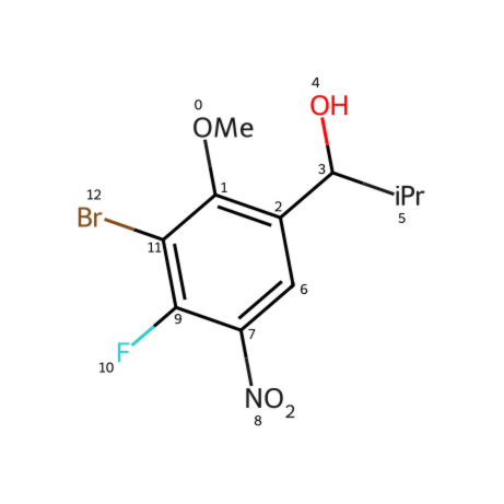 COc1c(C(O)C(C)C)cc([N+](=O)[O-])c(F)c1Br